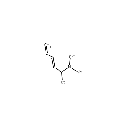 C=C/C=C/C(CC)N(CCC)CCC